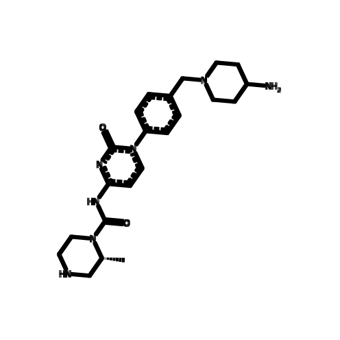 C[C@@H]1CNCCN1C(=O)Nc1ccn(-c2ccc(CN3CCC(N)CC3)cc2)c(=O)n1